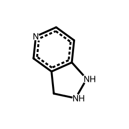 c1cc2c(cn1)CNN2